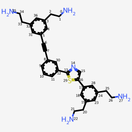 NCCc1cc(C#Cc2cccc(-c3ncc(-c4cc(CCN)cc(CCN)c4)s3)c2)cc(CCN)c1